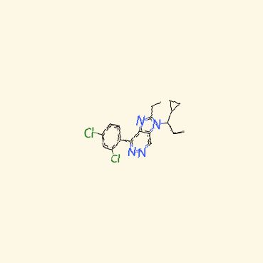 CCc1nc2c(-c3ccc(Cl)cc3Cl)nncc2n1C(CC)C1CC1